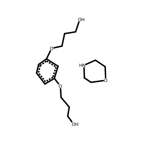 C1COCCN1.OCCCOc1cccc(OCCCO)c1